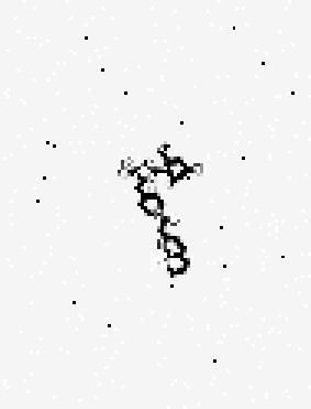 CCc1cc(Cl)cc(C)c1C(=O)NC(CC1CCN(C(=O)Cc2ccc3c(n2)NCCC3)CC1)C(=O)O